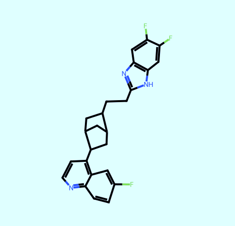 Fc1ccc2nccc(C3CC4CC3CC4CCc3nc4cc(F)c(F)cc4[nH]3)c2c1